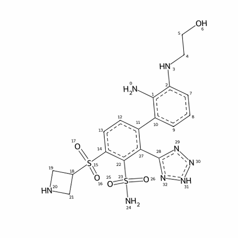 Nc1c(NCCO)cccc1-c1ccc(S(=O)(=O)C2CNC2)c(S(N)(=O)=O)c1-c1nn[nH]n1